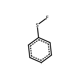 FSc1cc[c]cc1